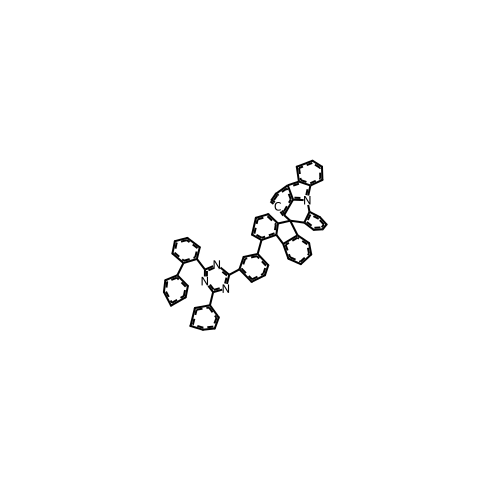 c1ccc(-c2nc(-c3cccc(-c4cccc5c4-c4ccccc4C54c5ccccc5-n5c6ccccc6c6cccc4c65)c3)nc(-c3ccccc3-c3ccccc3)n2)cc1